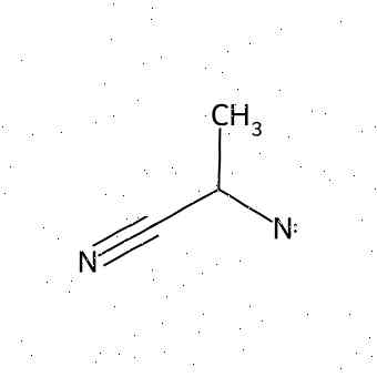 CC([N])C#N